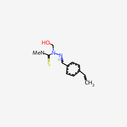 C=Cc1ccc(/C=N/N(CO)C(=S)NC)cc1